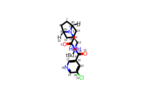 CC(C)(C)NC(=O)CN1[C@@H]2CC[C@H]1C[C@H](CNC(=O)c1cncc(Cl)c1)C2